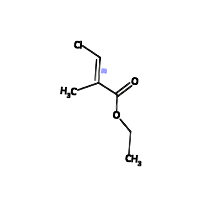 CCOC(=O)/C(C)=C/Cl